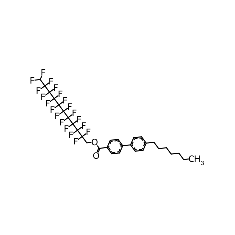 CCCCCCCc1ccc(-c2ccc(C(=O)OCC(F)(F)C(F)(F)C(F)(F)C(F)(F)C(F)(F)C(F)(F)C(F)(F)C(F)(F)C(F)(F)C(F)F)cc2)cc1